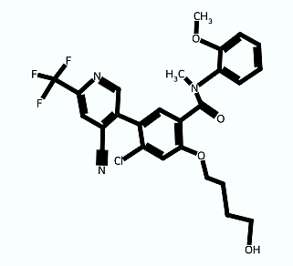 COc1ccccc1N(C)C(=O)c1cc(-c2cnc(C(F)(F)F)cc2C#N)c(Cl)cc1OCCCCO